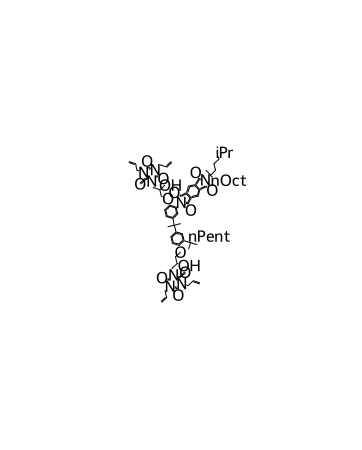 C=CCn1c(=O)n(CC=C)c(=O)n(CC(O)COc2ccc(C(C)(C)c3ccc(OCC(O)Cn4c(=O)n(CC=C)c(=O)n(CC=C)c4=O)c(C(C)(C)CCCCC)c3)cc2-n2c(=O)c3cc4c(=O)n(C(C)(CCCCCCCC)CCCC(C)C)c(=O)c4cc3c2=O)c1=O